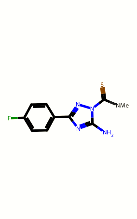 CNC(=S)n1nc(-c2ccc(F)cc2)nc1N